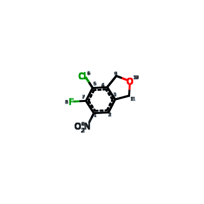 O=[N+]([O-])c1cc2c(c(Cl)c1F)COC2